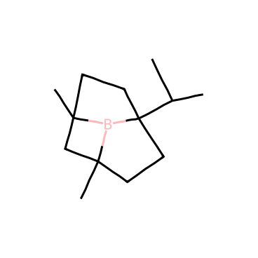 CC(C)C12CCC3(C)CC(C)(CC1)B32